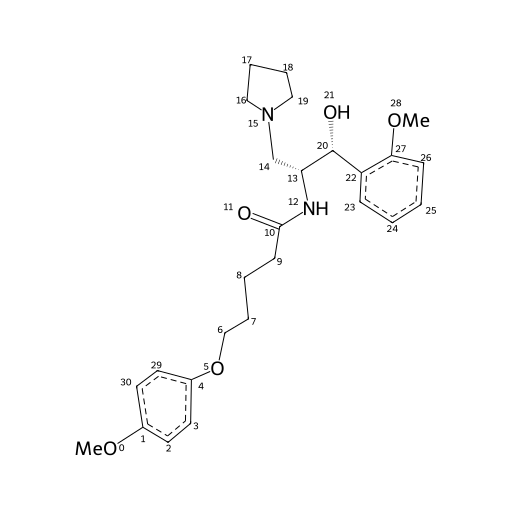 COc1ccc(OCCCCC(=O)N[C@H](CN2CCCC2)[C@H](O)c2ccccc2OC)cc1